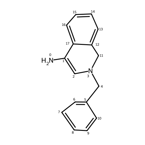 NC1=CN(Cc2ccccc2)Cc2ccccc21